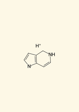 C1=CC2=C(C=CNC2)[N]1.[H+]